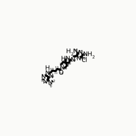 CN(C)c1ncnc2[nH]c(CCCC(=O)N3CCC4(CC3)CN/C(=N\Cc3nc(Cl)c(N)nc3N)C4)nc12